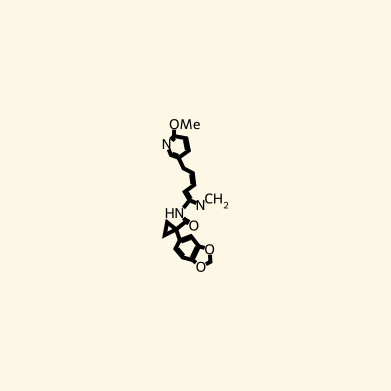 C=N/C(=C\C=C/Cc1ccc(OC)nc1)NC(=O)C1(c2ccc3c(c2)OCO3)CC1